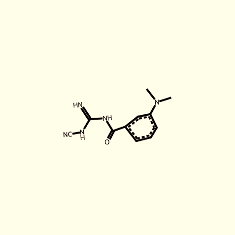 CN(C)c1cccc(C(=O)NC(=N)NC#N)c1